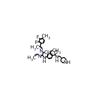 C\C=C/N=C(Nc1ccc(C(=O)NCC2CCNCC2)c(CC)c1)\C(C)=N\C=C(/C)c1ccc(C)c(F)c1F